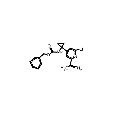 C=C(C)c1cc(C2(NC(=O)OCc3ccccc3)CC2)cc(Cl)n1